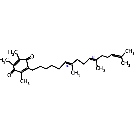 CC(C)=CCC/C(C)=C/CC/C(C)=C/CCCCCC1=C(C)C(=O)C(C)=C(C)C1=O